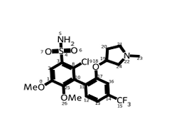 COc1cc(S(N)(=O)=O)c(Cl)c(-c2ccc(C(F)(F)F)cc2OC2CCN(C)C2)c1OC